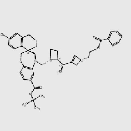 CC(C)(C)OC(=O)c1ccc2c(c1)N(C[C@@H]1CC[C@H]1[C@H](O)C1=C[C@H](CCOC(=O)c3ccccc3)C1)C[C@@]1(CCCc3cc(Cl)ccc31)CO2